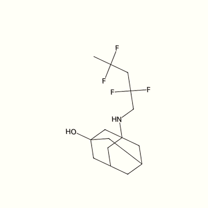 CC(F)(F)CC(F)(F)CNC12CC3CC(CC(O)(C3)C1)C2